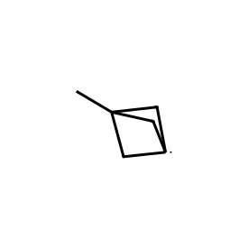 CC12C[C](C1)C2